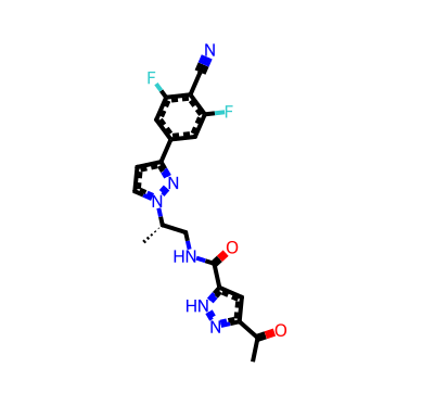 CC(=O)c1cc(C(=O)NC[C@H](C)n2ccc(-c3cc(F)c(C#N)c(F)c3)n2)[nH]n1